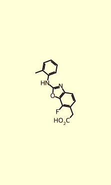 Cc1ccccc1Nc1nc2ccc(CC(=O)O)c(F)c2o1